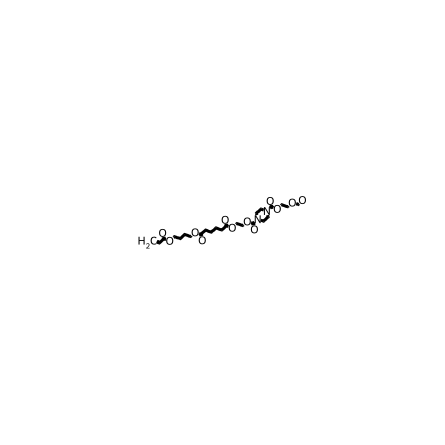 C=CC(=O)OCCCCOC(=O)CCCCC(=O)OCCOC(=O)N1CCN(C(=O)OCCOC=O)CC1